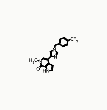 Cn1cc(-c2cn(Cc3ccc(C(F)(F)F)cc3)cn2)c2cc[nH]c2c1=O